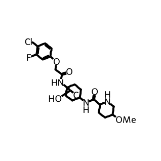 COC1CCC(C(=O)NC23CCC(NC(=O)COc4ccc(Cl)c(F)c4)(CC2)C(O)C3)NC1